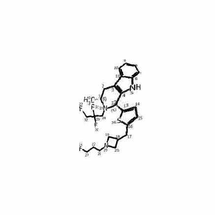 C[C@@H]1Cc2c([nH]c3ccccc23)[C@@H](c2ccc(CC3CN(CCCF)C3)s2)N1CC(F)(F)CF